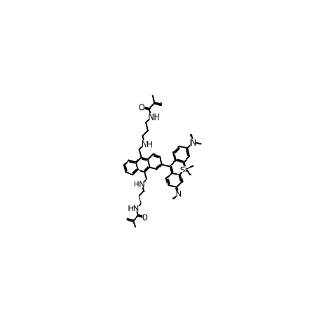 C=C(C)C(=O)NCCCNCc1c2ccccc2c(CNCCCNC(=O)C(=C)C)c2cc(C3=C4C=C/C(=N\C)C=C4[Si](C)(C)c4cc(N(C)C)ccc43)ccc12